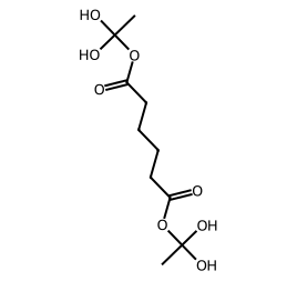 CC(O)(O)OC(=O)CCCCC(=O)OC(C)(O)O